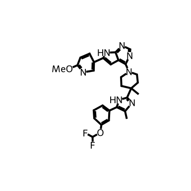 COc1ccc(-c2cc3c(N4CCC(C)(c5nc(C)c(-c6cccc(OC(F)F)c6)[nH]5)CC4)ncnc3[nH]2)cn1